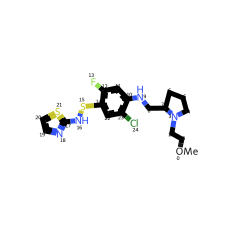 COCCN1CCCC1CNc1cc(F)c(SNc2nccs2)cc1Cl